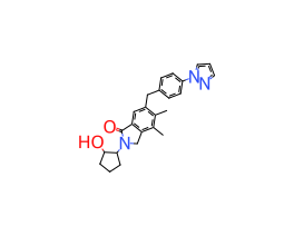 Cc1c(Cc2ccc(-n3cccn3)cc2)cc2c(c1C)CN(C1CCCC1O)C2=O